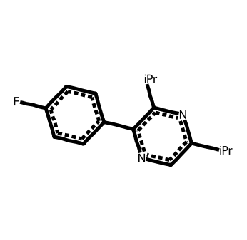 CC(C)c1cnc(-c2ccc(F)cc2)c(C(C)C)n1